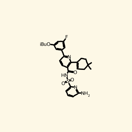 CC(C)COc1cc(F)cc(-c2ccc(C(=O)NS(=O)(=O)c3cccc(N)n3)c(C3=CCC(C)(C)CC3)n2)c1